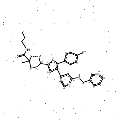 CCCNC(=O)C1(C)COC(c2nc(-c3ccc(F)cc3)c(-c3ccnc(NCc4cccnc4)n3)[nH]2)OC1